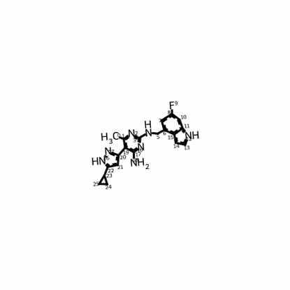 Cc1nc(NCc2cc(F)cc3[nH]ccc23)nc(N)c1-c1cc(C2CC2)[nH]n1